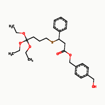 CCO[Si](CCCSC(CC(=O)OCc1ccc(CO)cc1)c1ccccc1)(OCC)OCC